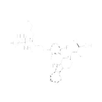 BC(B)(B)N(CCCF)CCOc1ccc(F)c([C@@H]2c3[nH]c4ccccc4c3C[C@@H](C)N2C[C@H](C)C(=O)O)c1C